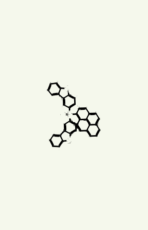 O=P(c1ccc2sc3ccccc3c2c1)(c1ccc2sc3ccccc3c2c1)c1ccc2ccc3cccc4ccc1c2c34